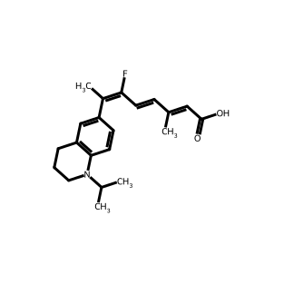 CC(/C=C/C(F)=C(/C)c1ccc2c(c1)CCCN2C(C)C)=C\C(=O)O